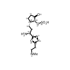 CNCCc1nnc([C@@H](N)CC[C@@H]2CCC(=O)N2OS(=O)(=O)O)o1